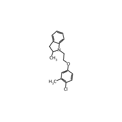 Cc1cc(OCCN2c3ccccc3CC2C)ccc1Cl